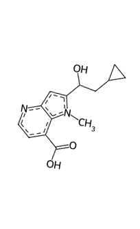 Cn1c(C(O)CC2CC2)cc2nccc(C(=O)O)c21